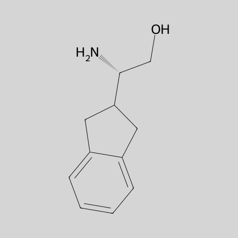 N[C@H](CO)C1Cc2ccccc2C1